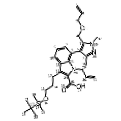 C=CCOCc1c(-c2cccc3c(CCCO[Si](C)(C)C(C)(C)C)c(C(=O)O)n(CC=C)c23)c(C)nn1C